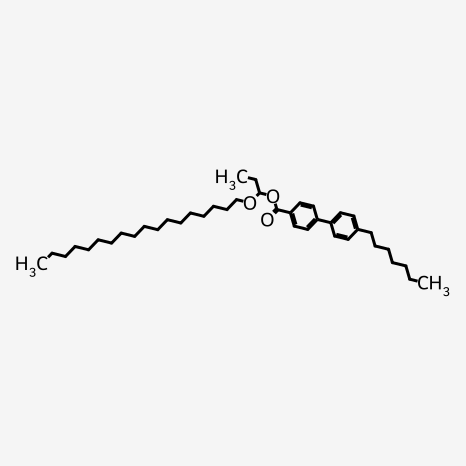 CCCCCCCCCCCCCCCCCCOC(CC)OC(=O)c1ccc(-c2ccc(CCCCCCC)cc2)cc1